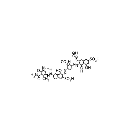 CCn1c(O)c(/N=N/c2ccc3cc(S(=O)(=O)O)c(/N=N/c4ccc(/N=N/c5c(SOOO)cc6cc(S(=O)(=O)O)cc(O)c6c5O)c(C(=O)O)c4)c(O)c3c2)c(C)c(C(N)=O)c1=O